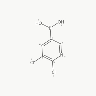 OB(O)c1cnc(Cl)c(Cl)c1